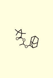 CC(OC(=O)C1(C)CC1(C)C)OC1C2CC3CC(C2)CC1C3